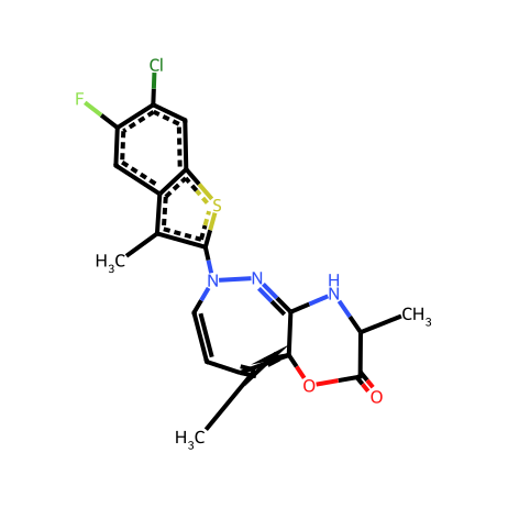 CC1=C2C=CN(c3sc4cc(Cl)c(F)cc4c3C)N=C3NC(C)C(=O)OC32C=CC1